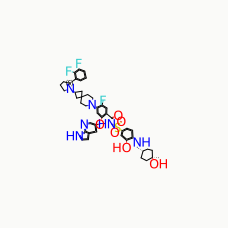 C[C@]1(O)CC[C@H](CNc2ccc(S(=O)(=O)NC(=O)c3cc(F)c(N4CCC5(CC4)CC(N4CCC[C@H]4c4cccc(F)c4F)C5)cc3Oc3cnc4[nH]ccc4c3)cc2O)CC1